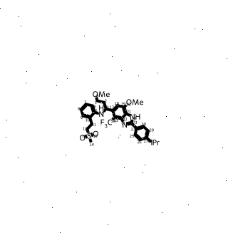 COCCC(Nc1ccccc1CCS(C)(=O)=O)c1cc(OC)c2[nH]c(-c3ccc(C(C)C)cc3)nc2c1C(F)(F)F